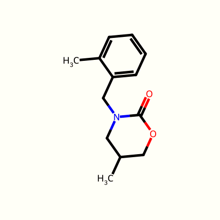 Cc1ccccc1CN1CC(C)COC1=O